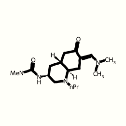 CCCN1C[C@@H](NC(=O)NC)C[C@@H]2CC(=O)C(=CN(C)C)C[C@H]21